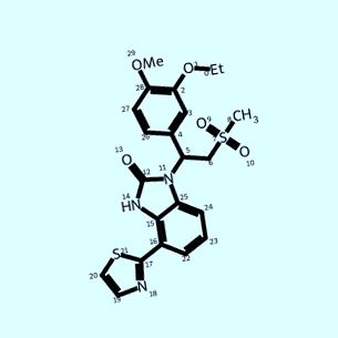 CCOc1cc(C(CS(C)(=O)=O)n2c(=O)[nH]c3c(-c4nccs4)cccc32)ccc1OC